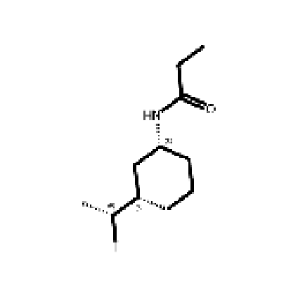 CCC(=O)N[C@@H]1CCC[C@H]([C@@H](C)I)C1